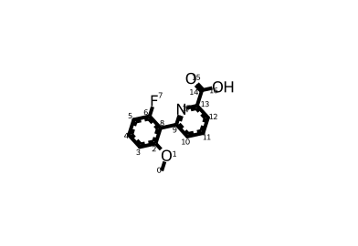 COc1cccc(F)c1-c1cccc(C(=O)O)n1